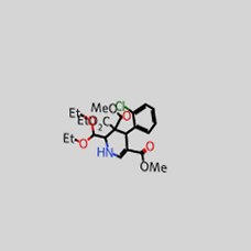 CCOC(=O)C1(C(=O)OC)C(c2ccccc2Cl)C(C(=O)OC)=CNC1C(OCC)OCC